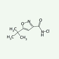 CC(C)(C)c1cc(C(=O)NCl)no1